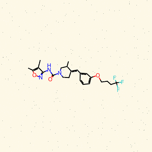 Cc1onc(NC(=O)N2CCC(=Cc3cccc(OCCCC(F)(F)F)c3)C(C)C2)c1C